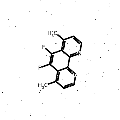 Cc1ccnc2c1c(F)c(F)c1c(C)ccnc12